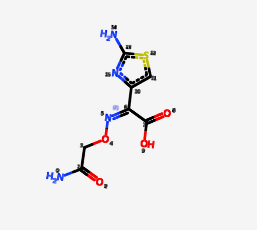 NC(=O)CO/N=C(\C(=O)O)c1csc(N)n1